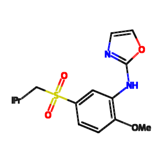 COc1ccc(S(=O)(=O)CC(C)C)cc1Nc1ncco1